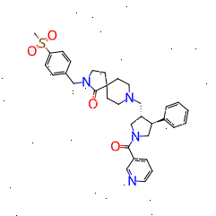 CS(=O)(=O)c1ccc(CN2CCC3(CCN(C[C@H]4CN(C(=O)c5cccnc5)C[C@@H]4c4ccccc4)CC3)C2=O)cc1